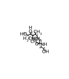 CC(COCC(=O)NCCO)C([C@H](O)CO)C(C)(C)C